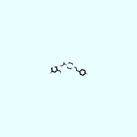 O=C(COc1ncc(Cl)cc1CS(=O)(=O)O)N1CCN(CCc2ccc(F)cc2)CC1